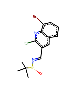 CC(C)(C)[S@@+]([O-])N=Cc1cc2cccc(Br)c2nc1Cl